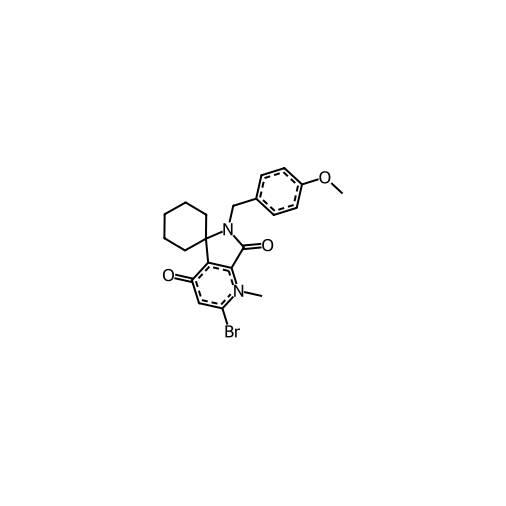 COc1ccc(CN2C(=O)c3c(c(=O)cc(Br)n3C)C23CCCCC3)cc1